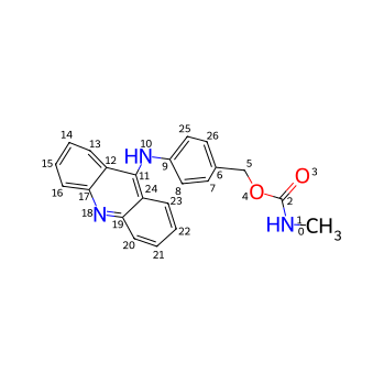 CNC(=O)OCc1ccc(Nc2c3ccccc3nc3ccccc23)cc1